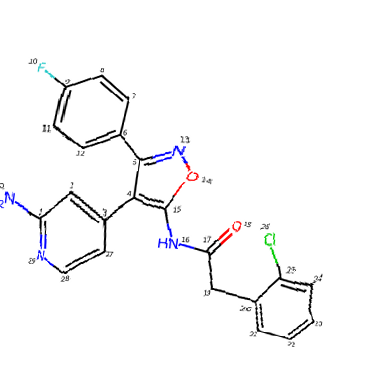 Nc1cc(-c2c(-c3ccc(F)cc3)noc2NC(=O)Cc2ccccc2Cl)ccn1